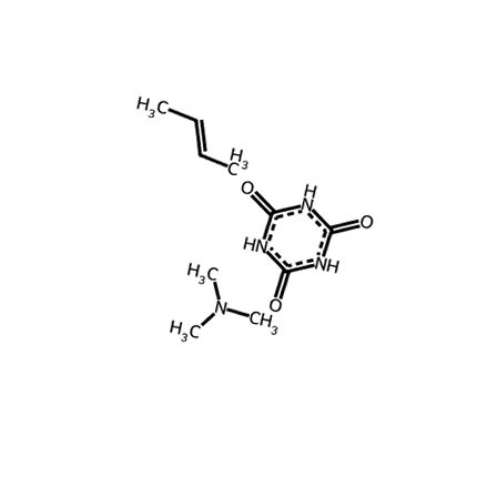 CC=CC.CN(C)C.O=c1[nH]c(=O)[nH]c(=O)[nH]1